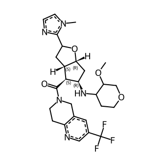 COC1COCCC1N[C@@H]1C[C@H]2OC(c3nccn3C)C[C@H]2[C@@H]1C(=O)N1CCc2ncc(C(F)(F)F)cc2C1